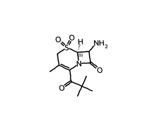 CC1=C(C(=O)C(C)(C)C)N2C(=O)C(N)[C@@H]2S(=O)(=O)C1